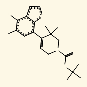 CC(C)(C)OC(=O)N1CC=C(c2cc(F)c(F)c3ccoc23)C(C)(C)C1